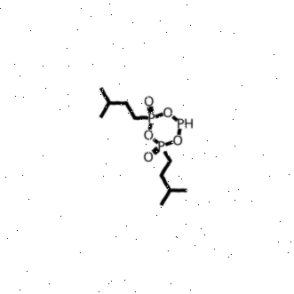 CC(C)CCP1(=O)OPOP(=O)(CCC(C)C)O1